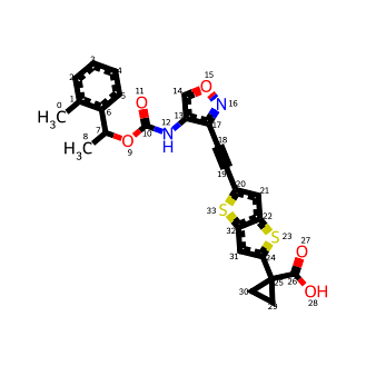 Cc1ccccc1C(C)OC(=O)Nc1conc1C#Cc1cc2sc(C3(C(=O)O)CC3)cc2s1